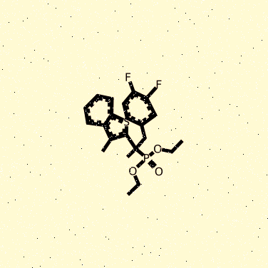 CCOP(=O)(OCC)C(C)(Cc1ccc(F)c(F)c1)c1sc2ccccc2c1C